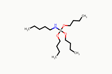 CCCCCN[Si](OCCCC)(OCCCC)OCCCC